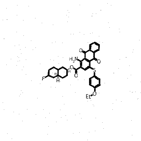 CCOc1ccc(Sc2cc(C(=O)O[C@@H]3CC[C@@H]4CC(F)CCC4C3)c(N)c3c2C(=O)c2ccccc2C3=O)cc1